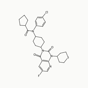 O=C(C1CCCC1)N(c1ccc(Cl)cc1)C1CCC(n2c(=O)c3cc(F)cnc3n(C3CCSCC3)c2=O)CC1